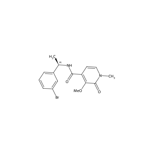 COc1c(C(=O)N[C@H](C)c2cccc(Br)c2)ccn(C)c1=O